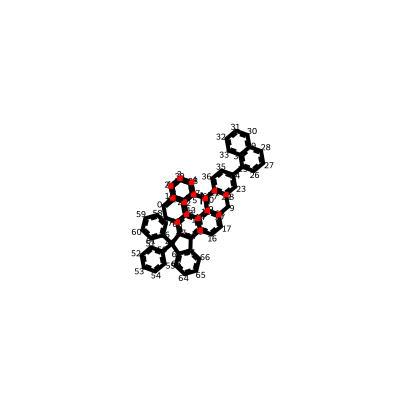 C1=c2cccc(C3CCCCC3)c2=C(c2ccccc2N(c2ccc(-c3cccc4ccccc34)cc2)c2ccccc2-c2ccc3c(c2)C(c2ccccc2)(c2ccccc2)c2ccccc2-3)CC1